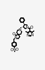 Cc1ncnc(C)c1C(=O)N1C[C@H](CN2CCC3(CC2)CCN(Cc2ccc(S(C)(=O)=O)cc2)C3=O)[C@@H](c2ccccc2)C1